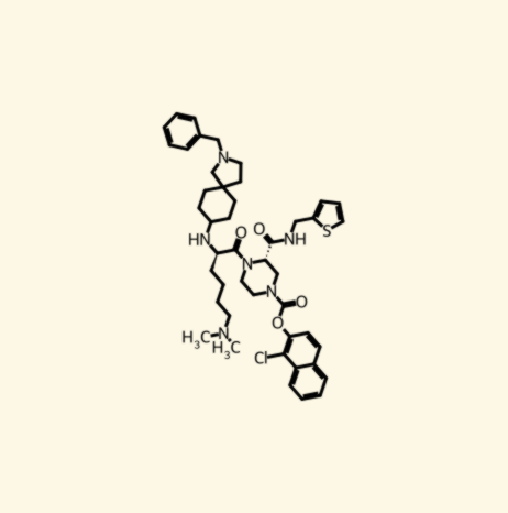 CN(C)CCCC[C@@H](NC1CCC2(CC1)CCN(Cc1ccccc1)C2)C(=O)N1CCN(C(=O)Oc2ccc3ccccc3c2Cl)C[C@H]1C(=O)NCc1cccs1